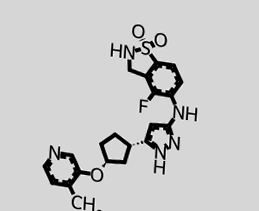 Cc1ccncc1O[C@@H]1CC[C@H](c2cc(Nc3ccc4c(c3F)CNS4(=O)=O)n[nH]2)C1